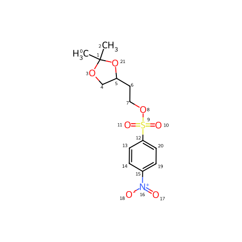 CC1(C)OCC(CCOS(=O)(=O)c2ccc([N+](=O)[O-])cc2)O1